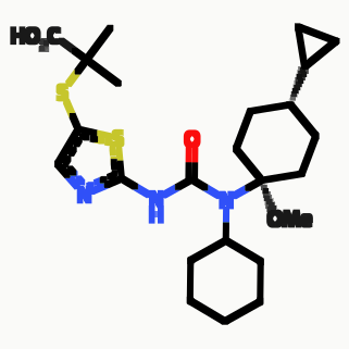 CO[C@]1(N(C(=O)Nc2ncc(SC(C)(C)C(=O)O)s2)C2CCCCC2)CC[C@H](C2CC2)CC1